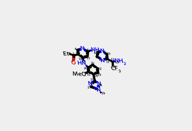 CCC(=O)c1cnc(Nc2cnc(C(N)C(F)(F)F)cn2)cc1Nc1cccc(-c2ncn(C)n2)c1OC